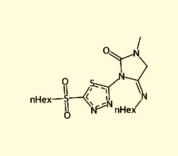 CCCCCCN=C1CN(C)C(=O)N1c1nnc(S(=O)(=O)CCCCCC)s1